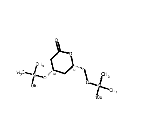 CC(C)(C)[Si](C)(C)OC[C@@H]1C[C@H](O[Si](C)(C)C(C)(C)C)CC(=O)O1